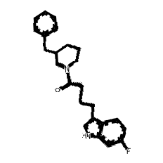 O=C(CCCc1c[nH]c2cc(F)ccc12)N1CCCC(Cc2ccccc2)C1